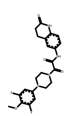 COc1c(F)cc(N2CCN(C(=O)C(=O)Nc3ccc4c(c3)CCC(=O)N4)CC2)cc1F